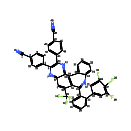 N#Cc1ccc(-c2nc3cc(C(F)(F)F)c4c(-c5ccccc5-c5cc(F)c(F)c(F)c5)nc5ccccc5c4c3nc2-c2ccc(C#N)cc2)cc1